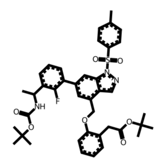 Cc1ccc(S(=O)(=O)n2ncc3c(COc4ccccc4CC(=O)OC(C)(C)C)cc(-c4cccc(C(C)NC(=O)OC(C)(C)C)c4F)cc32)cc1